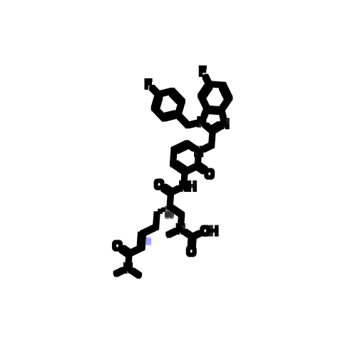 CN(C)C(=O)/C=C/CC[C@@H](CN(C)C(=O)O)C(=O)Nc1cccn(Cc2nc3ccc(F)cc3n2Cc2ccc(F)cc2)c1=O